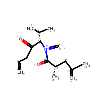 C=CCC(=O)[C@H](C(C)C)[N+](=C)C(=O)[C@@H](C)CC(=C)C